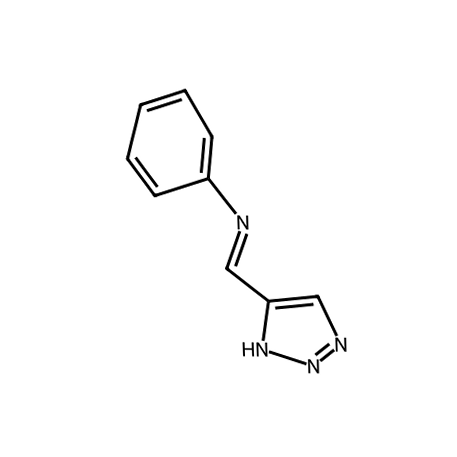 C(=N\c1ccccc1)/c1cnn[nH]1